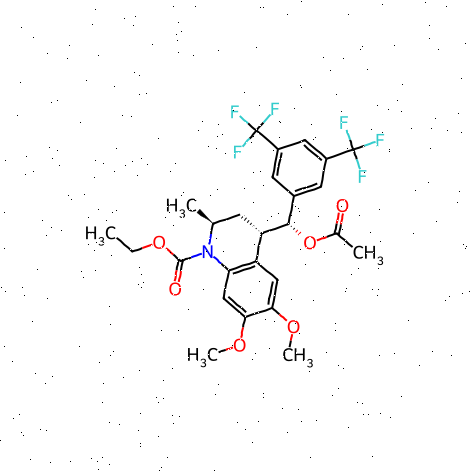 CCOC(=O)N1c2cc(OC)c(OC)cc2[C@@H]([C@@H](OC(C)=O)c2cc(C(F)(F)F)cc(C(F)(F)F)c2)C[C@@H]1C